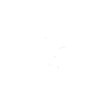 C1CCC2CC3CC[C@H]4N(CC1)CC1CC2C314